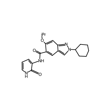 CC(C)Oc1cc2nn(C3CCCCC3)cc2cc1C(=O)Nc1ccc[nH]c1=O